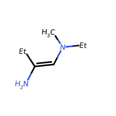 CC/C(N)=C\N(C)CC